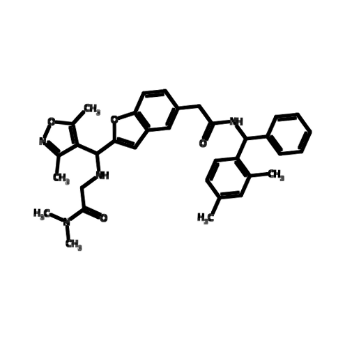 Cc1ccc(C(NC(=O)Cc2ccc3oc(C(NCC(=O)N(C)C)c4c(C)noc4C)cc3c2)c2ccccc2)c(C)c1